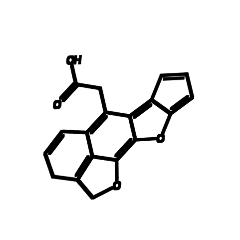 O=C(O)Cc1c2c3c(c4oc5c(c14)C=CC=5)OCC=3CC=C2